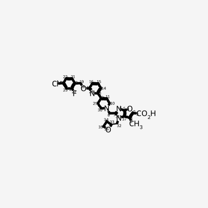 Cc1c(C(=O)O)oc2nc(CN3CC=C(c4cccc(OCc5ccc(Cl)cc5F)n4)CC3)n(C[C@@H]3CCO3)c12